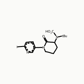 CC(C)(C)N(C(=O)O)C1CCCN(c2ccc(I)nc2)C1=O